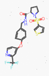 O=C(NCc1ccc(Oc2ccnc(C(F)(F)F)c2)cc1)[C@@H]1CCCN1S(=O)(=O)c1ccsc1